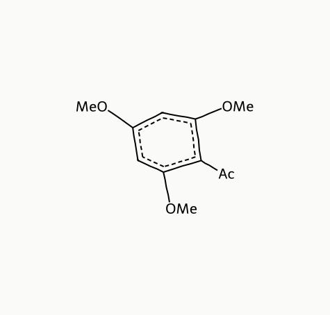 COc1cc(OC)c(C(C)=O)c(OC)c1